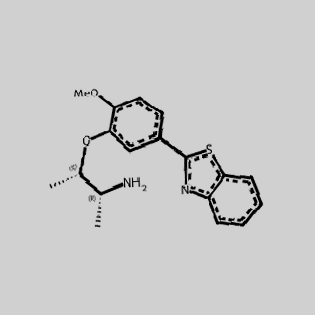 COc1ccc(-c2nc3ccccc3s2)cc1O[C@@H](C)[C@@H](C)N